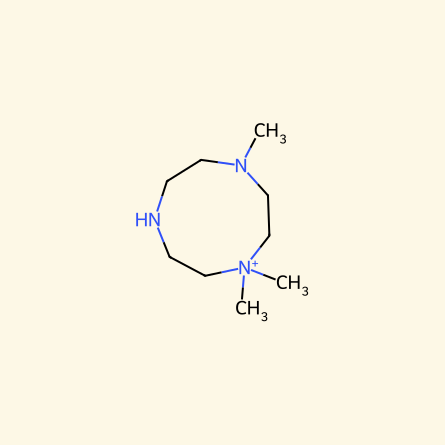 CN1CCNCC[N+](C)(C)CC1